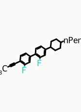 CCCCCC1CCC(c2ccc(-c3ccc(C#CC(F)(F)F)c(F)c3)c(F)c2)CC1